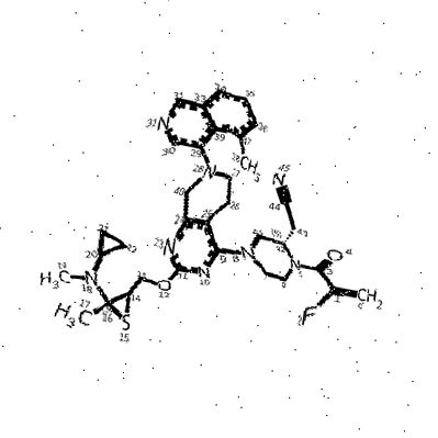 C=C(F)C(=O)N1CCN(c2nc(OCC3S[C@]3(C)N(C)C3CC3)nc3c2CCN(c2cncc4cccc(C)c24)C3)C[C@@H]1CC#N